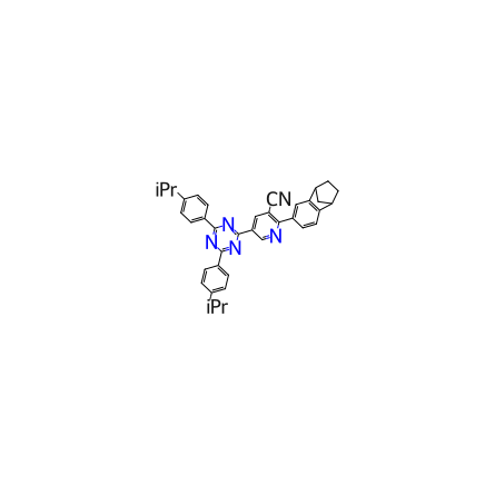 CC(C)c1ccc(-c2nc(-c3ccc(C(C)C)cc3)nc(-c3cnc(-c4ccc5c(c4)C4CCC5C4)c(C#N)c3)n2)cc1